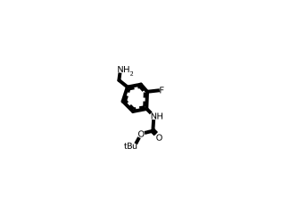 CC(C)(C)OC(=O)Nc1ccc(CN)cc1F